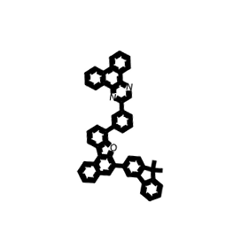 CC1(C)c2ccccc2-c2cc(-c3cc4ccccc4c4c3oc3c(-c5cccc(-c6cnc7c8ccccc8c8ccccc8c7n6)c5)cccc34)ccc21